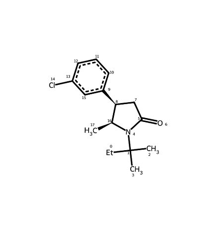 CCC(C)(C)N1C(=O)C[C@H](c2cccc(Cl)c2)[C@@H]1C